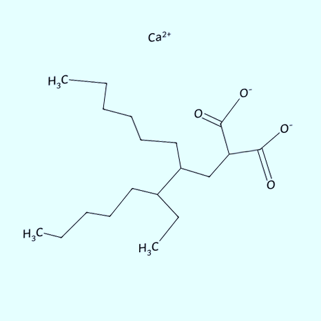 CCCCCCC(CC(C(=O)[O-])C(=O)[O-])C(CC)CCCCC.[Ca+2]